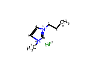 CCC[n+]1ccn(C)c1.F